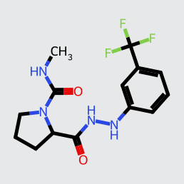 CNC(=O)N1CCCC1C(=O)NNc1cccc(C(F)(F)F)c1